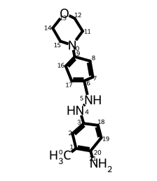 Cc1cc(NNc2ccc(N3CCOCC3)cc2)ccc1N